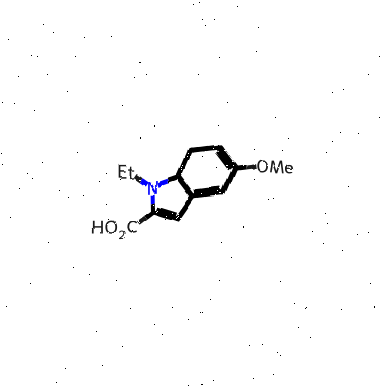 CCN1C(C(=O)O)=CC2=CC(OC)=CCC21